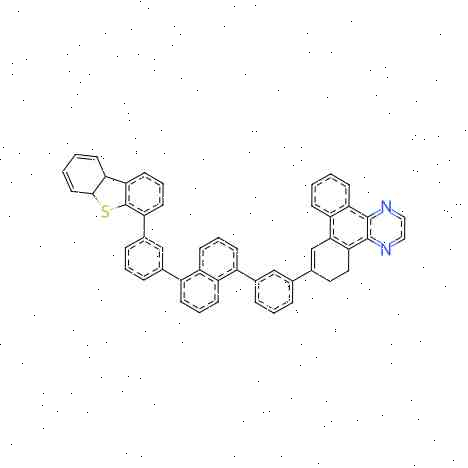 C1=CC2Sc3c(-c4cccc(-c5cccc6c(-c7cccc(C8=Cc9c(c%10nccnc%10c%10ccccc9%10)CC8)c7)cccc56)c4)cccc3C2C=C1